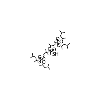 CC(C)CC(C)OP(=O)(OC(C)CC(C)C)SCC(C)OP(=O)(S)OC(C)CSP(=O)(OC(C)CC(C)C)OC(C)CC(C)C